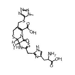 CO[C@@]1(NC(=S)Cc2nc(CC(N)C(=O)O)c[nH]2)C(=O)N2C(C(=O)O)=C(CSc3nnnn3C)CS[C@H]21